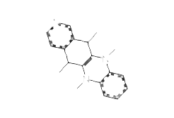 CC1C2=C(C(C)c3cnccc31)N(C)c1ccccc1N2C